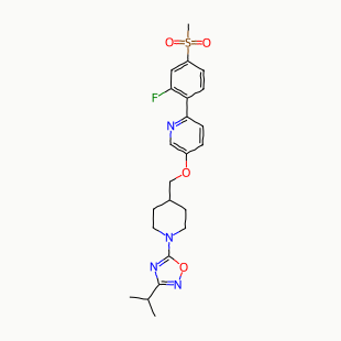 CC(C)c1noc(N2CCC(COc3ccc(-c4ccc(S(C)(=O)=O)cc4F)nc3)CC2)n1